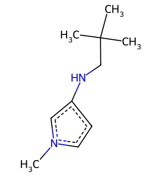 Cn1ccc(NCC(C)(C)C)c1